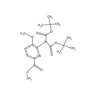 CCC(=O)c1ccc(OC)c(N(C(=O)OC(C)(C)C)C(=O)OC(C)(C)C)n1